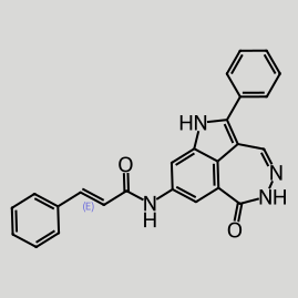 O=C(/C=C/c1ccccc1)Nc1cc2c3c(c(-c4ccccc4)[nH]c3c1)C=NNC2=O